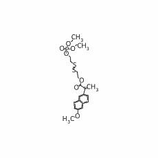 CCOP(=O)(OCC)OCCSSCCOC(=O)[C@@H](C)c1ccc2cc(OC)ccc2c1